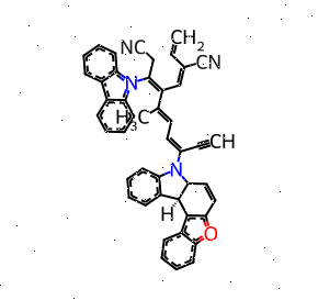 C#C/C(=C\C=C(/C)C(/C=C(/C#N)C=C)=C(CC#N)n1c2ccccc2c2ccccc21)N1c2ccccc2[C@@H]2c3c(oc4ccccc34)C=CC21